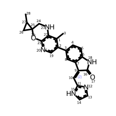 Cc1c(-c2ccc3c(c2)/C(=C/c2ncc[nH]2)C(=O)N3)cnc2c1NCC1(CC1C)O2